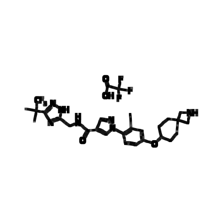 Cc1cc(OC2CCC3(CC2)CNC3)ccc1-n1cc(C(=O)NCc2nc(C(C)(C)C(F)(F)F)n[nH]2)cn1.O=C(O)C(F)(F)F